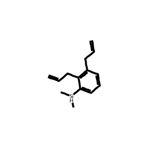 C=CCc1cccc([SiH](C)C)c1CC=C